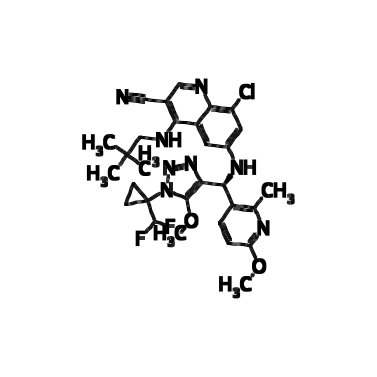 COc1ccc([C@H](Nc2cc(Cl)c3ncc(C#N)c(NCC(C)(C)C)c3c2)c2nnn(C3(C(F)F)CC3)c2OC)c(C)n1